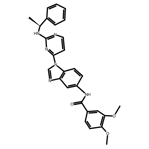 COc1ccc(C(=O)Nc2ccc3c(c2)ncn3-c2ccnc(N[C@@H](C)c3ccccc3)n2)cc1OC